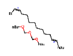 CC/C=C\CCCCCCCC/C=C/CCCC.CCCCOCOCOCCCC